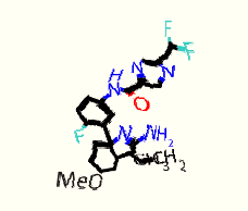 C=CCC1C[C@@H](OC)CCC1(/N=C(\C)N)c1cc(NC(=O)c2cnc(C(F)F)cn2)ccc1F